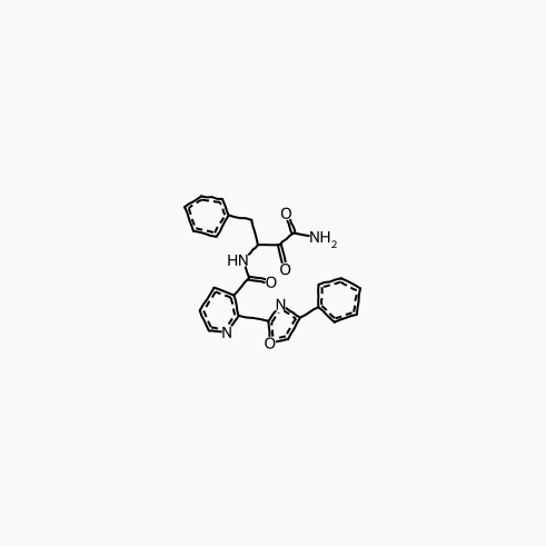 NC(=O)C(=O)C(Cc1ccccc1)NC(=O)c1cccnc1-c1nc(-c2ccccc2)co1